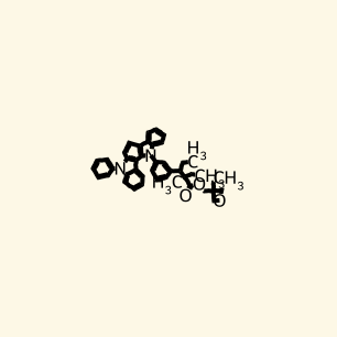 CCC(c1cccc(-n2c3ccccc3c3ccc4c(c5ccccc5n4-c4ccccc4)c32)c1)C(C)(CC)C(=O)OCC1(CC)COC1